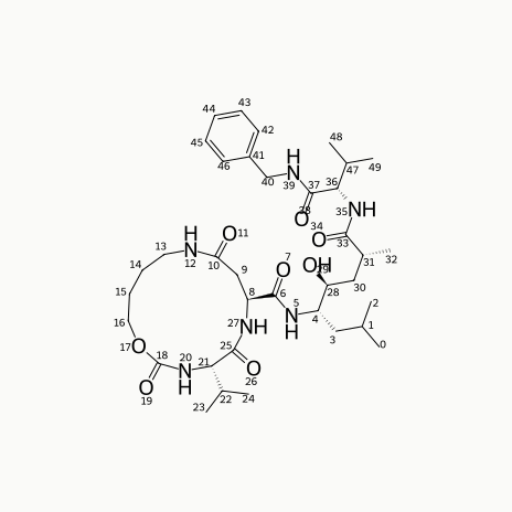 CC(C)C[C@H](NC(=O)[C@@H]1CC(=O)NCCCCOC(=O)N[C@@H](C(C)C)C(=O)N1)[C@@H](O)C[C@@H](C)C(=O)N[C@H](C(=O)NCc1ccccc1)C(C)C